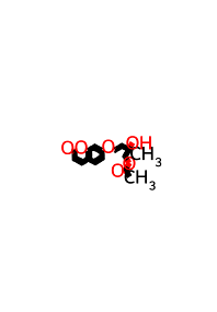 CC(=O)OC[C@@](C)(O)CCOc1ccc2ccc(=O)oc2c1